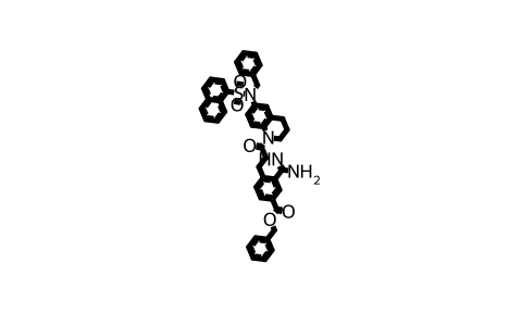 N=C(N)c1cc(C(=O)OCc2ccccc2)ccc1CCC(=O)N1CCCc2cc(N(Cc3ccccc3)S(=O)(=O)c3cccc4ccccc34)ccc21